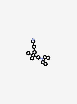 c1ccc(-c2c3ccccc3c(-c3ccc(-n4c5ccc6ccccc6c5c5c6ccccc6ccc54)cc3)c3ccc(-c4ccc(-c5ccncc5)cc4)cc23)cc1